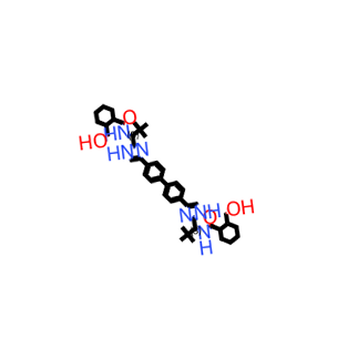 CC(C)(C)[C@H](NC(=O)C1CCCCC1CO)c1nc(-c2ccc(-c3ccc(-c4c[nH]c([C@@H](NC(=O)C5CCCCC5CO)C(C)(C)C)n4)cc3)cc2)c[nH]1